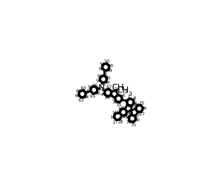 CC1(C)c2cc(-c3cccc4c3-c3cc5ccccc5cc3C43c4ccccc4-c4ccccc43)ccc2-c2ccc(N(c3ccc(-c4ccccc4)cc3)c3ccc(-c4ccccc4)cc3)cc21